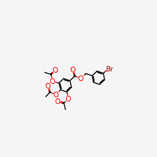 CC(=O)Oc1cc(C(=O)OCc2cccc(Br)c2)cc(OC(C)=O)c1OC(C)=O